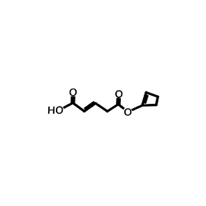 O=C(O)C=CCC(=O)OC1=CCC1